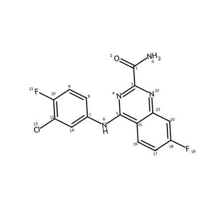 NC(=O)c1nc(Nc2ccc(F)c(Cl)c2)c2c[c]c(F)cc2n1